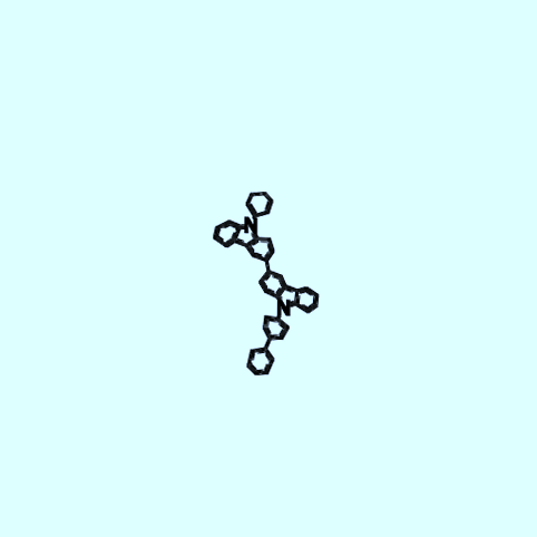 C1=CC(n2c3ccccc3c3cc(-c4ccc5c(c4)c4ccccc4n5-c4ccc(-c5ccccc5)cc4)ccc32)=CCC1